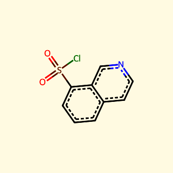 O=S(=O)(Cl)c1cccc2ccncc12